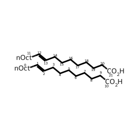 CCCCCCCC/C=C/CCCCCCCC(=O)O.CCCCCCCC/C=C/CCCCCCCC(=O)O